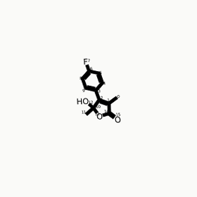 CC1=C(c2ccc(F)cc2)C(C)(O)OC1=O